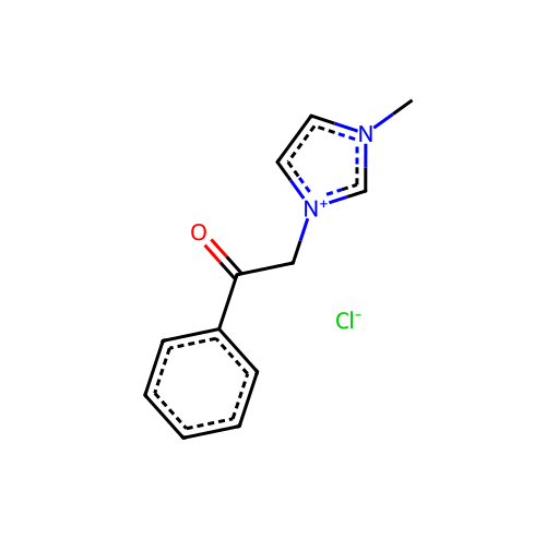 Cn1cc[n+](CC(=O)c2ccccc2)c1.[Cl-]